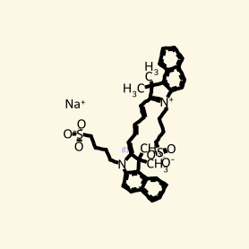 CC1(C)C(C=CC=C/C=C2/N(CCCCS(=O)(=O)[O-])c3ccc4ccccc4c3C2(C)C)=[N+](CCCCS(=O)(=O)[O-])c2ccc3ccccc3c21.[Na+]